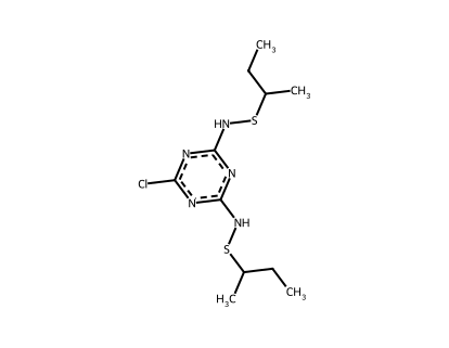 CCC(C)SNc1nc(Cl)nc(NSC(C)CC)n1